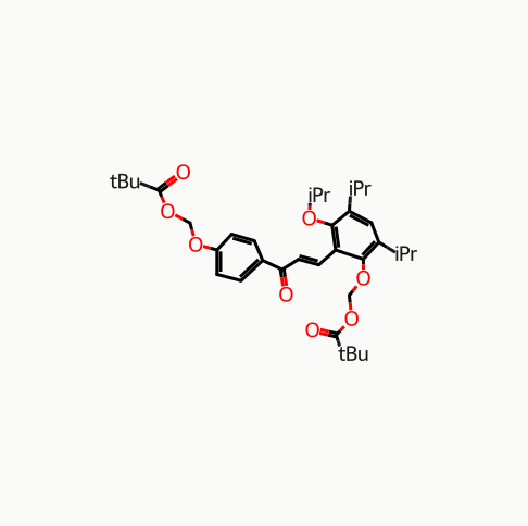 CC(C)Oc1c(C(C)C)cc(C(C)C)c(OCOC(=O)C(C)(C)C)c1C=CC(=O)c1ccc(OCOC(=O)C(C)(C)C)cc1